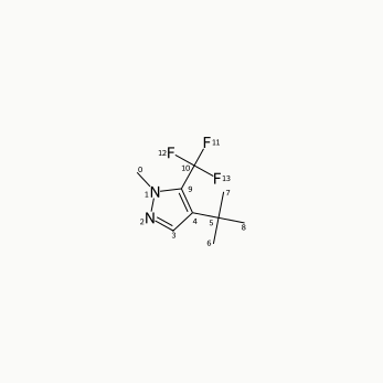 Cn1ncc(C(C)(C)C)c1C(F)(F)F